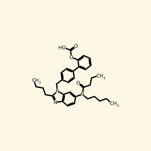 CCCCCN(C(=O)CCC)c1ccc2nc(CCCC)n(Cc3ccc(-c4ccccc4OC(=O)O)cc3)c2c1